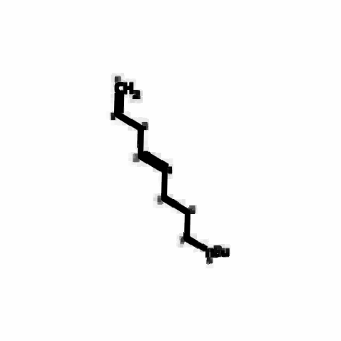 C=CCC=CCCCCCCC